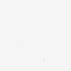 OC1CC2CC/C=C\CCC2C1(Cl)Cl